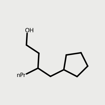 CCCC(CCO)CC1CCCC1